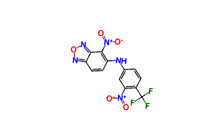 O=[N+]([O-])c1cc(Nc2ccc3nonc3c2[N+](=O)[O-])ccc1C(F)(F)F